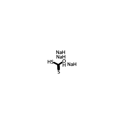 OC(=S)S.[NaH].[NaH].[NaH]